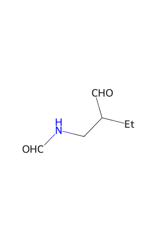 CCC(C=O)CNC=O